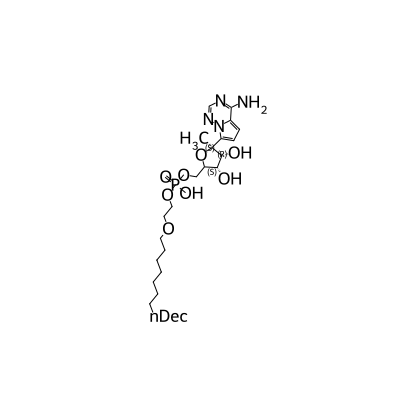 CCCCCCCCCCCCCCCCCOCCOP(=O)(O)OCC1O[C@@](C)(c2ccc3c(N)ncnn23)[C@H](O)[C@@H]1O